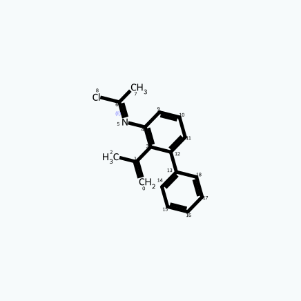 C=C(C)c1c(/N=C(\C)Cl)cccc1-c1ccccc1